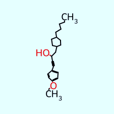 CCCCCC1CCC(CC(O)C#Cc2ccc(OCC)cc2)CC1